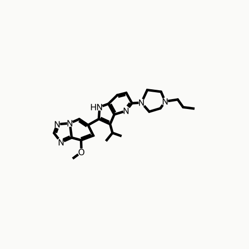 CCCN1CCN(c2ccc3[nH]c(-c4cc(OC)c5ncnn5c4)c(C(C)C)c3n2)CC1